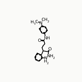 CN(C)c1ccc(NC(=O)CCC(C(N)=O)c2ccccc2N)cc1